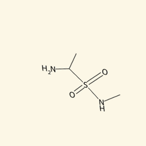 CNS(=O)(=O)C(C)N